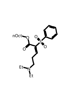 CCCCCCCCOC(=O)C(=CCCN(CC)CC)S(=O)(=O)c1ccccc1